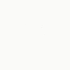 CC1=C(C)[C](C)([Zr][C]2(C)P=PC(C)=C2C)P=P1.c1ccc(CCc2ccccc2)cc1